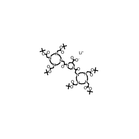 CC(C)(C)OC(=O)CN1CCN(CC(=O)OC(C)(C)C)CCN(CC(=O)N2CCN(C(=O)CN3CCN(CC(=O)OC(C)(C)C)CCN(CC(=O)OC(C)(C)C)CCN(CC(=O)OC(C)(C)C)CC3)CC(C(=O)[O-])C2)CCN(CC(=O)OC(C)(C)C)CC1.[Li+]